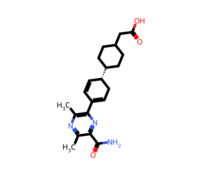 Cc1nc(C)c(C2=CC[C@@H](C3CCC(CC(=O)O)CC3)C=C2)nc1C(N)=O